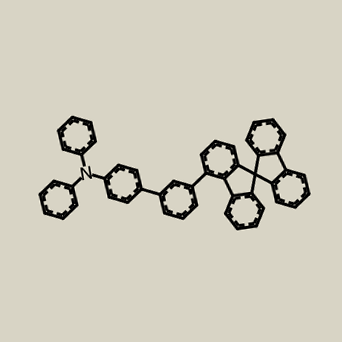 c1ccc(N(c2ccccc2)c2ccc(-c3cccc(-c4cccc5c4-c4ccccc4C54c5ccccc5-c5ccccc54)c3)cc2)cc1